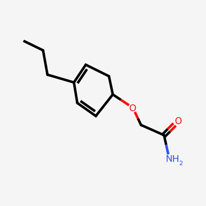 CCCC1=CCC(OCC(N)=O)C=C1